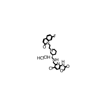 Cl.Cl.O=C1COc2cc(Cl)c(CNC[C@@H]3CCCN(CCn4c(=O)ccc5ccc(F)cc54)C3)nc2N1